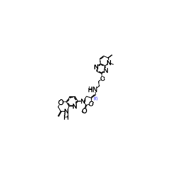 C=C1COc2ccc(N3C/C(=C\NCCOc4cnc5c(n4)N(C)C(=C)C=C5)OC3=O)nc2N1